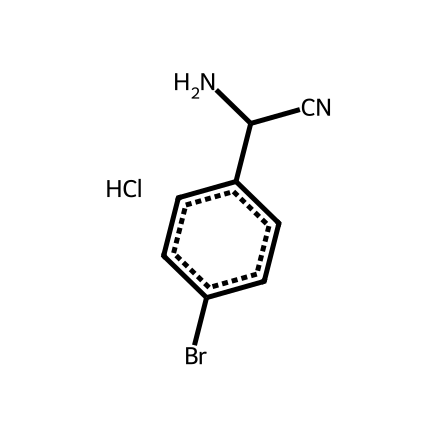 Cl.N#CC(N)c1ccc(Br)cc1